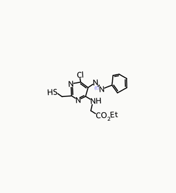 CCOC(=O)CNc1nc(CS)nc(Cl)c1/N=N/c1ccccc1